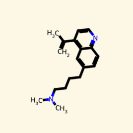 C=C(C)c1ccnc2ccc(CCCCN(C)C)cc12